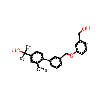 CCC(O)(CC)c1ccc(-c2cccc(COc3cc[c]c(CO)c3)c2)c(C)c1